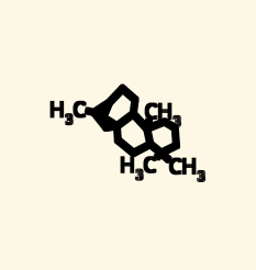 CC1=CC23CCC4C(C)(C)CCCC4(C)C2CCC1C3